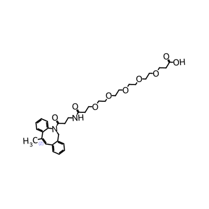 C/C1=C/c2ccccc2CN(C(=O)CCNC(=O)CCOCCOCCOCCOCCOCCC(=O)O)c2ccccc21